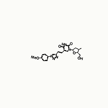 COc1ccc(-n2cc(/C=C/c3cn([C@H]4C[C@@H](C)[C@@H](CO)O4)c(=O)[nH]c3=O)nn2)cc1